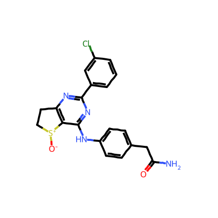 NC(=O)Cc1ccc(Nc2nc(-c3cccc(Cl)c3)nc3c2[S+]([O-])CC3)cc1